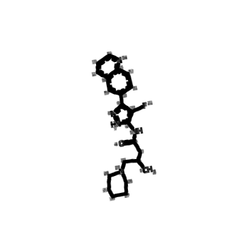 CC(CC(=O)Nc1[nH]nc(-c2ccc3ncccc3c2)c1F)CN1CCCCC1